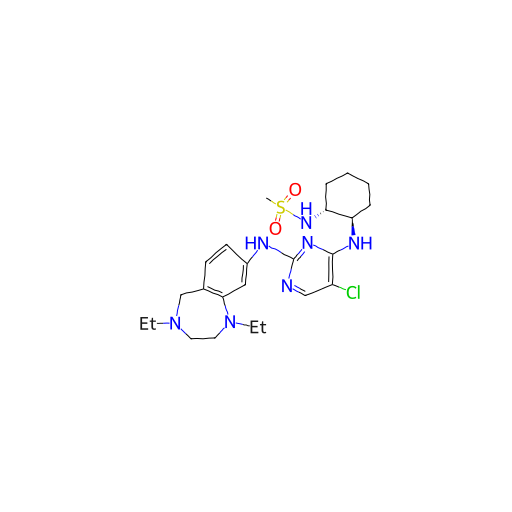 CCN1CCN(CC)c2cc(Nc3ncc(Cl)c(N[C@@H]4CCCC[C@H]4NS(C)(=O)=O)n3)ccc2C1